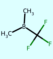 CB(C)C(F)(F)F